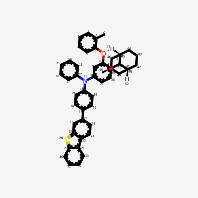 Cc1ccccc1Oc1cc(N(c2ccccc2)c2ccc(-c3ccc4c(c3)sc3ccccc34)cc2)ccc1C1[C@@H]2CCC[C@H]1C[C@H](C)C2